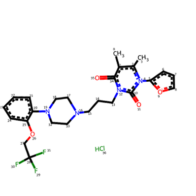 Cc1c(C)n(-c2ccco2)c(=O)n(CCCN2CCN(c3ccccc3OCC(F)(F)F)CC2)c1=O.Cl